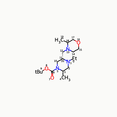 CCN1CC(C)N(C(=O)OC(C)(C)C)C[C@@H]1CN1CCOCC1C